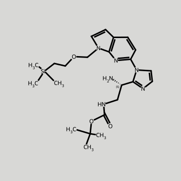 CC(C)(C)OC(=O)NC[C@H](N)c1nccn1-c1ccc2ccn(COCC[Si](C)(C)C)c2n1